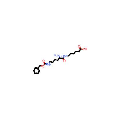 NC(CCCCNC(=O)OCc1ccccc1)C(=O)NCCCCCC(=O)O